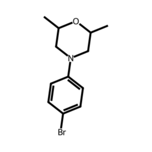 CC1CN(c2ccc(Br)cc2)CC(C)O1